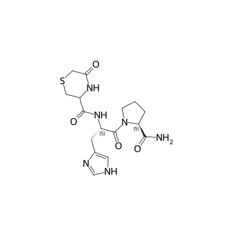 NC(=O)[C@@H]1CCCN1C(=O)[C@H](Cc1c[nH]cn1)NC(=O)C1CSCC(=O)N1